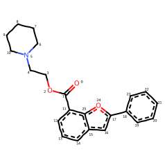 O=C(OCCN1CCCCC1)c1cccc2cc(-c3ccccc3)oc12